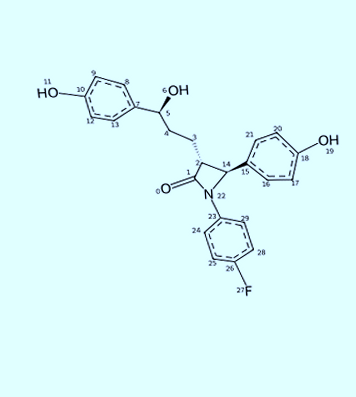 O=C1[C@H](CC[C@H](O)c2ccc(O)cc2)[C@@H](c2ccc(O)cc2)N1c1ccc(F)cc1